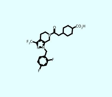 O=C(O)C1CCC(CC(=O)N2CCc3c(C(F)(F)F)nn(Cc4ccc(F)cc4F)c3C2)CC1